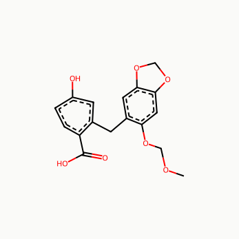 COCOc1cc2c(cc1Cc1cc(O)ccc1C(=O)O)OCO2